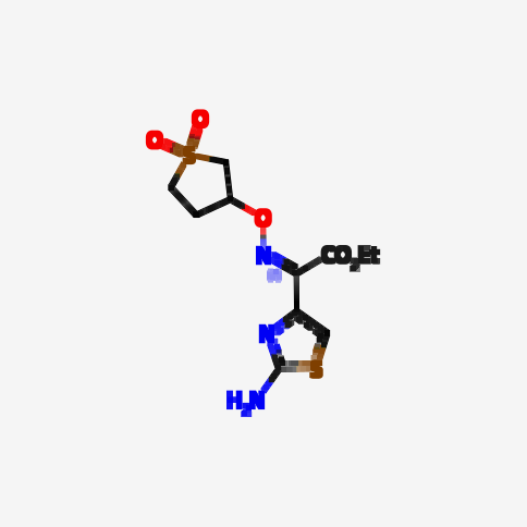 CCOC(=O)/C(=N\OC1CCS(=O)(=O)C1)c1csc(N)n1